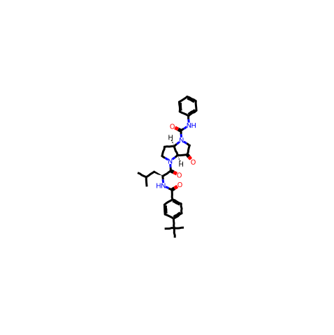 CC(C)C[C@H](NC(=O)c1ccc(C(C)(C)C)cc1)C(=O)N1CC[C@@H]2[C@H]1C(=O)CN2C(=O)Nc1ccccc1